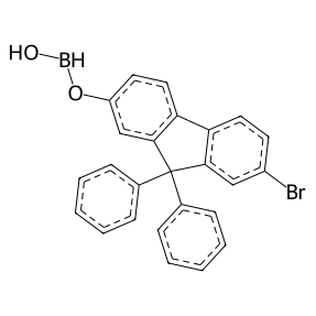 OBOc1ccc2c(c1)C(c1ccccc1)(c1ccccc1)c1cc(Br)ccc1-2